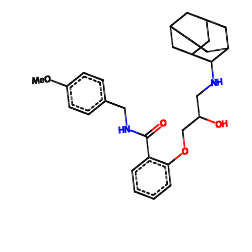 COc1ccc(CNC(=O)c2ccccc2OCC(O)CNC2C3CC4CC(C3)CC2C4)cc1